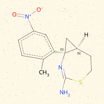 Cc1ccc([N+](=O)[O-])cc1[C@]12C[C@H]1CCSC(N)=N2